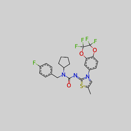 Cc1cn(-c2ccc3c(c2)OC(F)(F)C(F)(F)O3)/c(=N/C(=O)N(Cc2ccc(F)cc2)C2CCCC2)s1